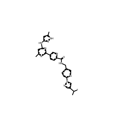 Cc1cc(Nc2cc(C)[nH]n2)nc(-c2ccc(C(=O)NCc3ccc(-n4cc(C(C)F)cn4)nc3)nc2)n1